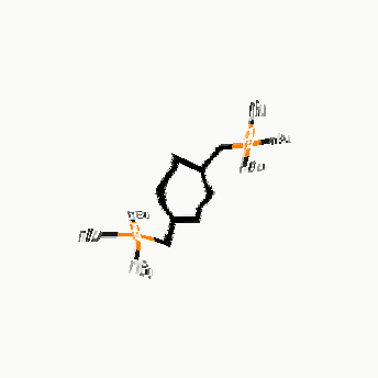 CCCC[PH](CCCC)(CCCC)CC1CCC(C[PH](CCCC)(CCCC)CCCC)CC1